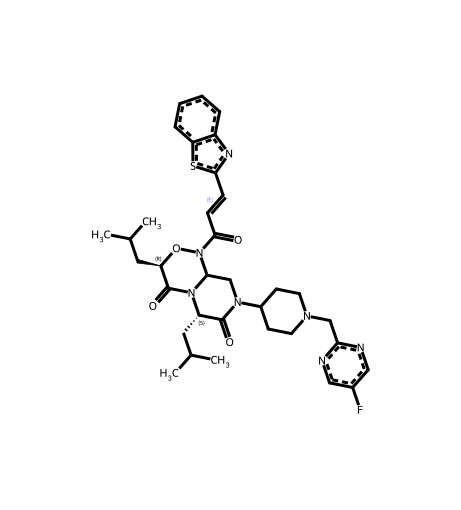 CC(C)C[C@H]1ON(C(=O)/C=C/c2nc3ccccc3s2)C2CN(C3CCN(Cc4ncc(F)cn4)CC3)C(=O)[C@H](CC(C)C)N2C1=O